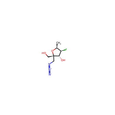 C[C@@H]1O[C@@](CO)(CN=[N+]=[N-])[C@@H](O)[C@@H]1F